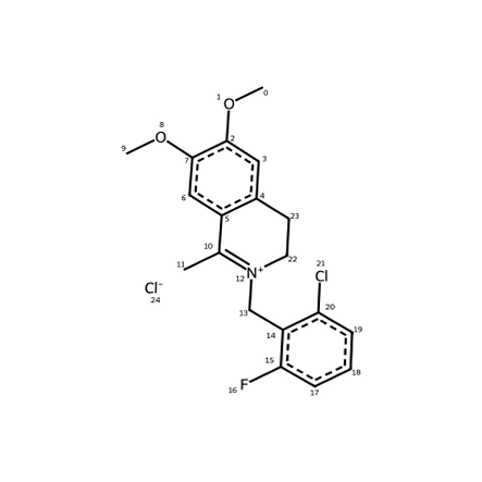 COc1cc2c(cc1OC)C(C)=[N+](Cc1c(F)cccc1Cl)CC2.[Cl-]